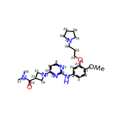 COc1ccc(Nc2nccc(N3CC(C(=O)N(C)C)C3)n2)cc1OCCCN1CCCC1